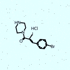 Cl.O=C(C(I)=Cc1ccc(Br)cc1)N1CCNCC1